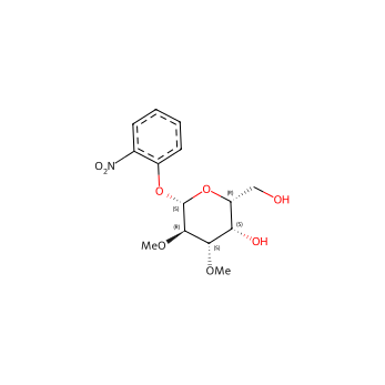 CO[C@H]1[C@H](Oc2ccccc2[N+](=O)[O-])O[C@H](CO)[C@H](O)[C@@H]1OC